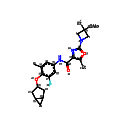 CCc1oc(N2CC(CC)(OC)C2)nc1C(=O)Nc1cc(C)c(OC2CC3CC3C2)c(F)c1